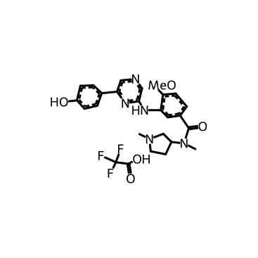 COc1ccc(C(=O)N(C)C2CCN(C)C2)cc1Nc1cncc(-c2ccc(O)cc2)n1.O=C(O)C(F)(F)F